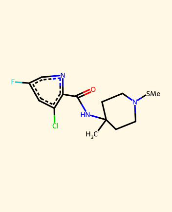 CSN1CCC(C)(NC(=O)c2ncc(F)cc2Cl)CC1